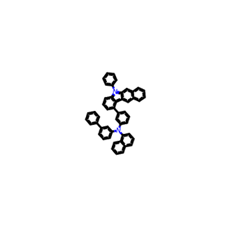 c1ccc(-c2cccc(N(c3cccc(-c4cccc5c4c4cc6ccccc6cc4n5-c4ccccc4)c3)c3cccc4ccccc34)c2)cc1